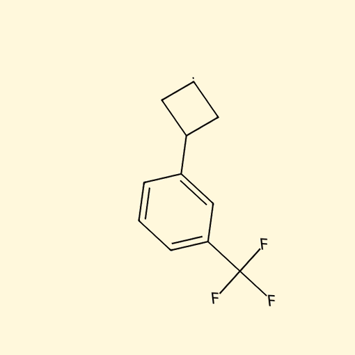 FC(F)(F)c1cccc(C2C[CH]C2)c1